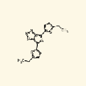 CCc1ccc(-c2sc(-c3ccc(CC)s3)c3snnc23)s1